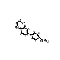 CC(C)(C)c1ccc(-c2ccc3c(c2)OCC=N3)cc1